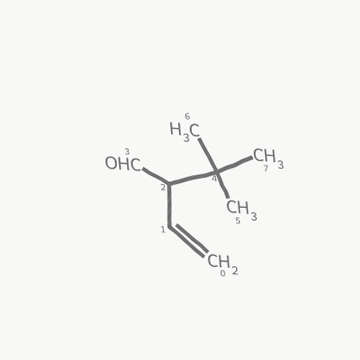 C=CC(C=O)C(C)(C)C